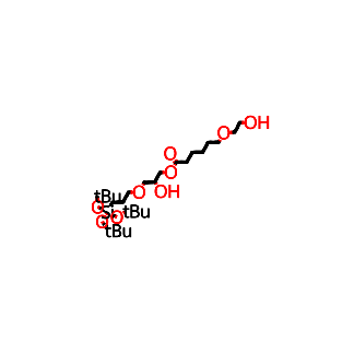 CC(C)(C)O[Si](CCCOCC(O)COC(=O)CCCCCOCCO)(OC(C)(C)C)OC(C)(C)C